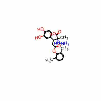 Cc1cccc(C)c1OC(=O)CC(c1ccc(O)c(O)c1)C(C)(NN)C(=O)O